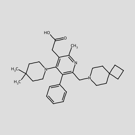 Cc1nc(CN2CCC3(CCC3)CC2)c(-c2ccccc2)c(N2CCC(C)(C)CC2)c1CC(=O)O